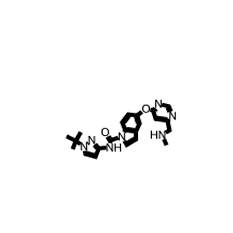 CNCc1cc(Oc2ccc3c(ccn3C(=O)Nc3ccn(C(C)(C)C)n3)c2)ncn1